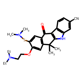 CCN(CC)CCOc1cc2c(cc1SN(C)C)C(=O)c1c([nH]c3cc(C#N)ccc13)C2(C)C